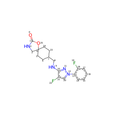 O=C1NCC2(CCC(CNc3nn(-c4ccccc4F)cc3F)CC2)O1